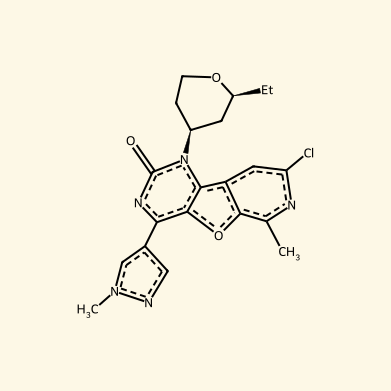 CC[C@H]1C[C@@H](n2c(=O)nc(-c3cnn(C)c3)c3oc4c(C)nc(Cl)cc4c32)CCO1